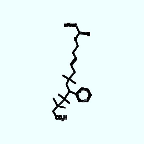 CCCCCC(=S)SCC/C=C/CC(C)(C)CC(c1ccccc1)C(C)(C)C(C)(C)CC(=O)O